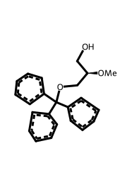 CO[C@H](CO)COC(c1ccccc1)(c1ccccc1)c1ccccc1